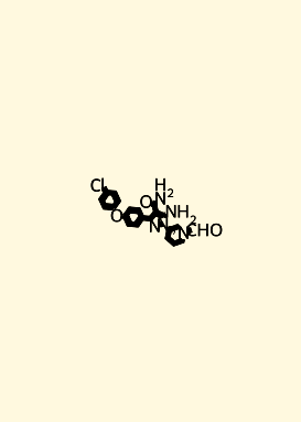 NC(=O)c1c(-c2ccc(Oc3ccc(Cl)cc3)cc2)nn([C@@H]2CCCN(C=O)C2)c1N